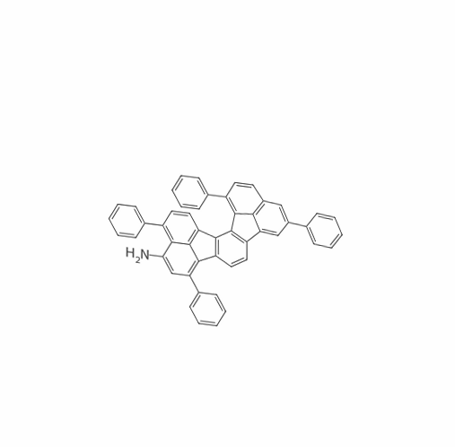 Nc1cc(-c2ccccc2)c2c3ccc4c5cc(-c6ccccc6)cc6ccc(-c7ccccc7)c(c65)c4c3c3ccc(-c4ccccc4)c1c32